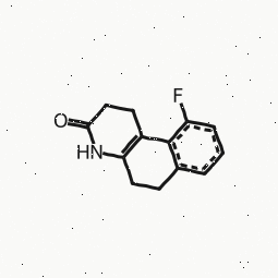 O=C1CCC2=C(CCc3cccc(F)c32)N1